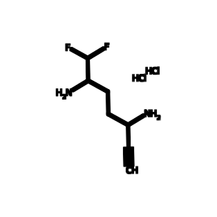 C#CC(N)CCC(N)C(F)F.Cl.Cl